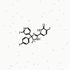 C[C@@H]1NC(c2ccc(F)c(=O)[nH]2)=N[C@@]1(c1ccc(F)cc1)c1ccnc(F)c1